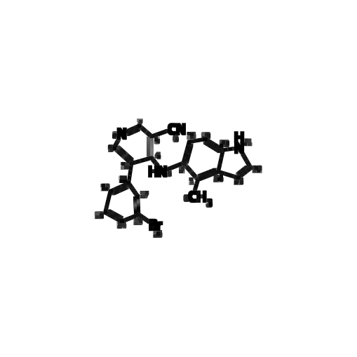 Cc1c(Nc2c(C#N)cncc2-c2cccc(Br)c2)ccc2[nH]ccc12